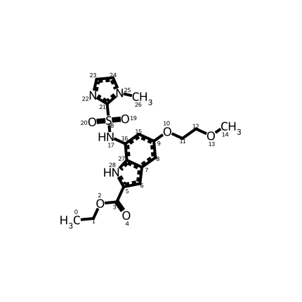 CCOC(=O)c1cc2cc(OCCOC)cc(NS(=O)(=O)c3nccn3C)c2[nH]1